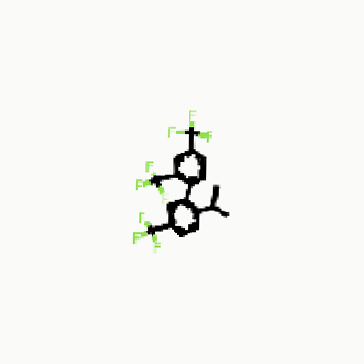 CC(C)c1ccc(C(F)(F)F)cc1-c1ccc(C(F)(F)F)cc1C(F)(F)F